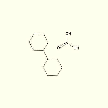 C1CCC(C2CCCCC2)CC1.O=C(O)O